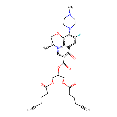 C#CCCCC(=O)OCC(COC(=O)CCCC#C)OC(=O)c1cn2c3c(c(N4CCN(C)CC4)c(F)cc3c1=O)OC[C@@H]2C